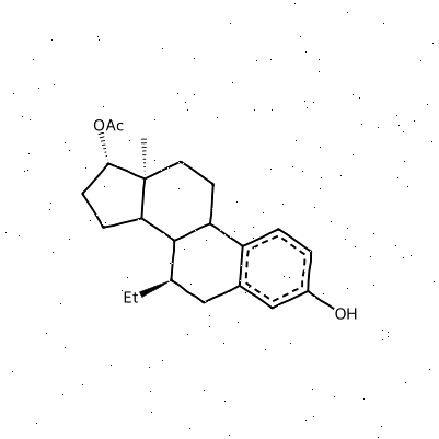 CC[C@@H]1Cc2cc(O)ccc2C2CC[C@@]3(C)C(CC[C@@H]3OC(C)=O)C21